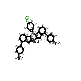 CCCc1ccc(-c2cccc3c2C=C(C(C)(C)C)[CH]3[Ti+2]2([CH]3C(C(C)(C)C)=Cc4c(-c5ccc(CCC)cc5)cccc43)[CH]3CCCC[CH]32)cc1.[Cl-].[Cl-]